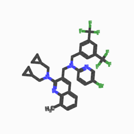 Cc1cccc2cc(CN(Cc3cc(C(F)(F)F)cc(C(F)(F)F)c3)c3ccc(Br)cn3)c(N(CC3CC3)CC3CC3)nc12